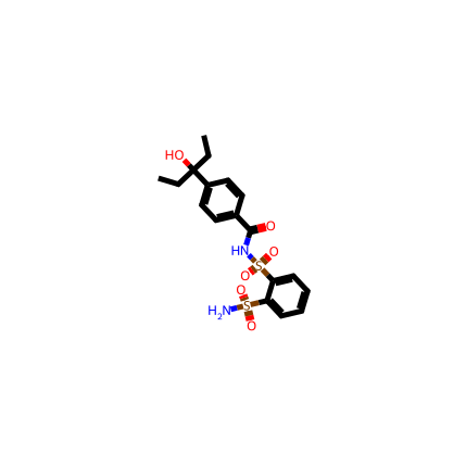 CCC(O)(CC)c1ccc(C(=O)NS(=O)(=O)c2ccccc2S(N)(=O)=O)cc1